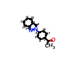 CC(=O)c1ccc(-n2cc3ccccc3n2)cc1